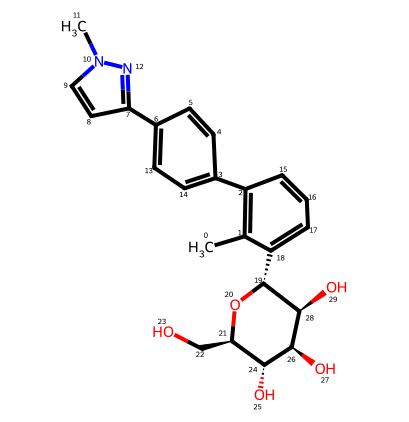 Cc1c(-c2ccc(-c3ccn(C)n3)cc2)cccc1[C@H]1O[C@H](CO)[C@@H](O)[C@H](O)[C@@H]1O